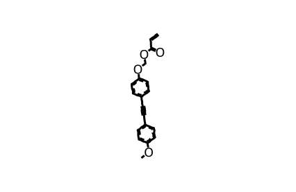 C=CC(=O)OCOc1ccc(C#Cc2ccc(OC)cc2)cc1